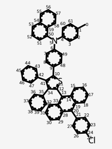 Cc1ccc(N(c2ccc(-c3sc(-c4c5ccccc5c(-c5ccc(Cl)cc5)c5ccccc45)c(-c4ccccc4)c3-c3ccccc3)cc2)c2cccc3ccccc23)cc1